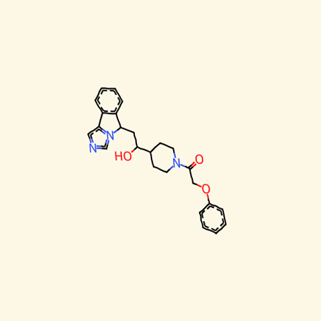 O=C(COc1ccccc1)N1CCC(C(O)CC2c3ccccc3-c3cncn32)CC1